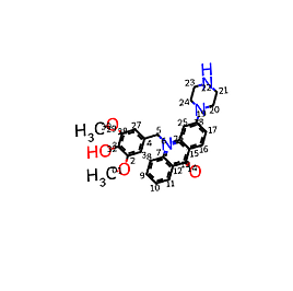 COc1cc(Cn2c3ccccc3c(=O)c3ccc(N4CCNCC4)cc32)cc(OC)c1O